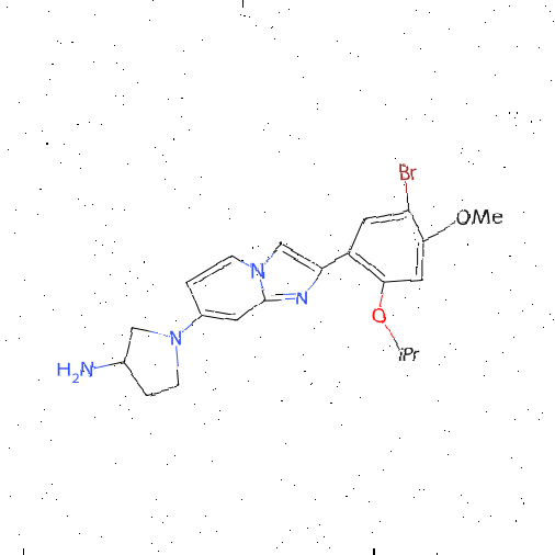 COc1cc(OC(C)C)c(-c2cn3ccc(N4CCC(N)C4)cc3n2)cc1Br